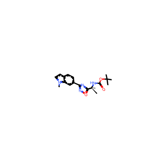 C[C@H](NC(=O)OC(C)(C)C)c1nc(-c2ccc3ccn(C)c3c2)no1